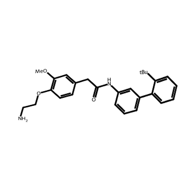 COc1cc(CC(=O)Nc2cccc(-c3ccccc3C(C)(C)C)c2)ccc1OCCN